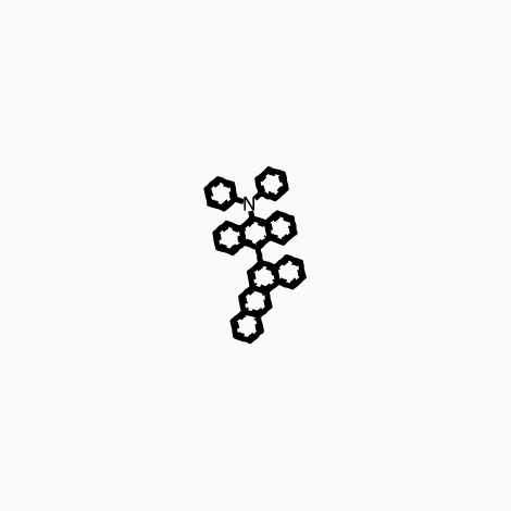 c1ccc(N(c2ccccc2)c2c3ccccc3c(-c3cc4cc5ccccc5cc4c4ccccc34)c3ccccc23)cc1